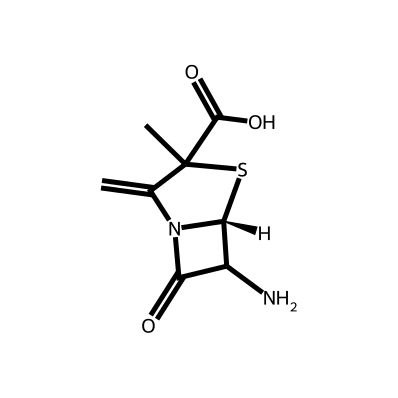 C=C1N2C(=O)C(N)[C@H]2SC1(C)C(=O)O